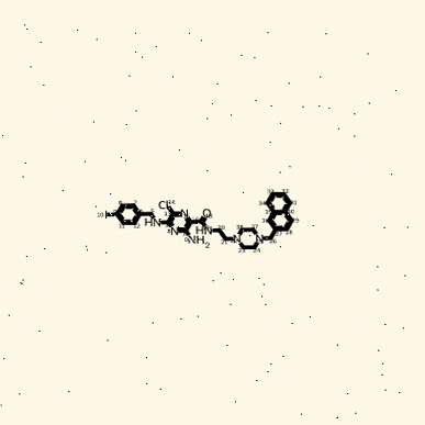 Nc1nc(NCc2ccc(I)cc2)c(Cl)nc1C(=O)NCCN1CCN(Cc2ccc3ccccc3c2)CC1